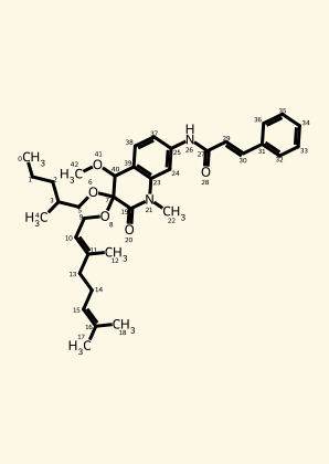 CCCC(C)COC1(OCC=C(C)CCC=C(C)C)C(=O)N(C)c2cc(NC(=O)C=Cc3ccccc3)ccc2C1OC